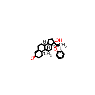 C=C(Oc1ccccc1)[C@@]1(O)CC[C@H]2[C@@H]3CCC4=CC(=O)CC[C@]4(C)C3=CC[C@@]21C